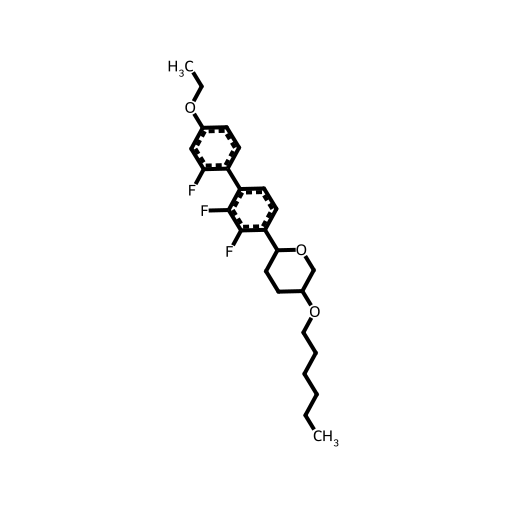 CCCCCCOC1CCC(c2ccc(-c3ccc(OCC)cc3F)c(F)c2F)OC1